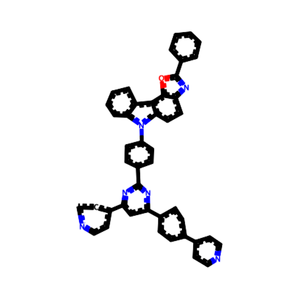 c1ccc(-c2nc3ccc4c(c5ccccc5n4-c4ccc(-c5nc(-c6ccncc6)cc(-c6ccc(-c7ccncc7)cc6)n5)cc4)c3o2)cc1